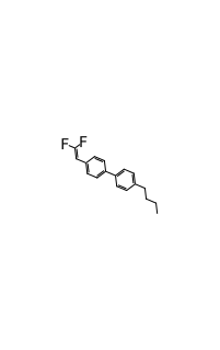 CCCCc1ccc(-c2ccc(C=C(F)F)cc2)cc1